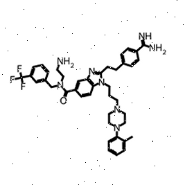 Cc1ccccc1N1CCN(CCCn2c(CCc3ccc(C(=N)N)cc3)nc3cc(C(=O)N(CCN)Cc4cccc(C(F)(F)F)c4)ccc32)CC1